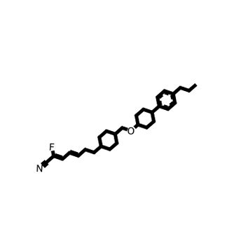 CCCc1ccc(C2CCC(OCC3CCC(CCC=CC=C(F)C#N)CC3)CC2)cc1